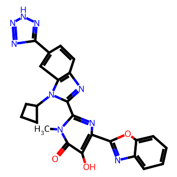 Cn1c(-c2nc3ccc(-c4nn[nH]n4)cc3n2C2CCC2)nc(-c2nc3ccccc3o2)c(O)c1=O